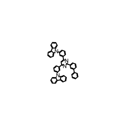 c1ccc(-c2cccc(-c3nc(-c4cccc(-n5c6ccccc6c6ccccc65)c4)cc(-c4cccc(-n5c6ccccc6c6ccccc65)c4)n3)c2)cc1